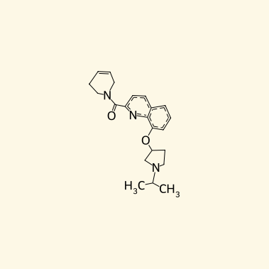 CC(C)N1CCC(Oc2cccc3ccc(C(=O)N4CC=CCC4)nc23)C1